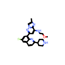 COCCNc1cc(-c2cc(F)cc3ccc(C4CCNCC4)nc23)nn2cc(C)nc12